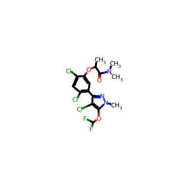 CC(Oc1cc(-c2nn(C)c(OC(F)F)c2Cl)c(Cl)cc1Cl)C(=O)N(C)C